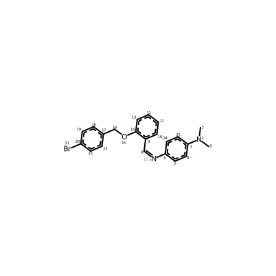 CN(C)c1ccc(/N=C\c2ccccc2OCc2ccc(Br)cc2)cc1